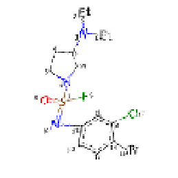 CCN(CC)C1CCN(S(=O)(F)=Nc2ccc(C(C)C)c(Cl)c2)C1